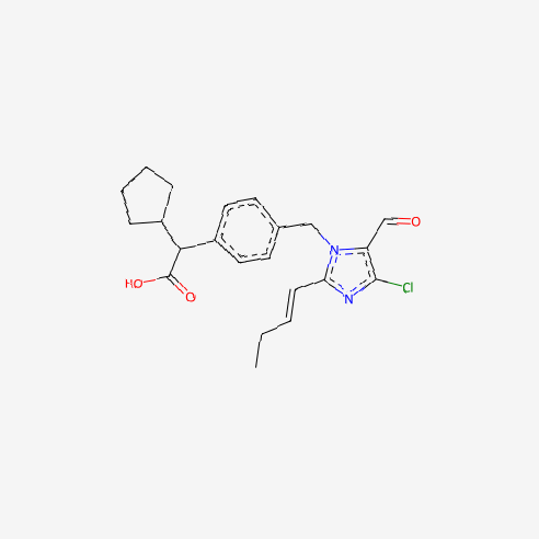 CC/C=C/c1nc(Cl)c(C=O)n1Cc1ccc(C(C(=O)O)C2CCCC2)cc1